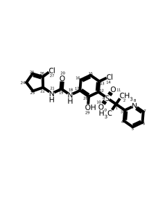 CC(C)(c1ccccn1)S(=O)(=O)c1c(Cl)ccc(NC(=O)NC2CCC=C2Cl)c1O